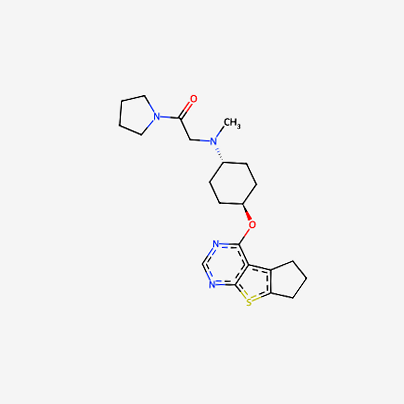 CN(CC(=O)N1CCCC1)[C@H]1CC[C@H](Oc2ncnc3sc4c(c23)CCC4)CC1